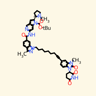 Cc1nn(CCCCCCCC#Cc2ccc3c(c2)n(C)c(=O)n3C2CCC(=O)NC2=O)c2cc(C(=O)Nc3cc4c(cn3)cc([C@H]3CCCN3C)n4C(=O)OC(C)(C)C)ccc12